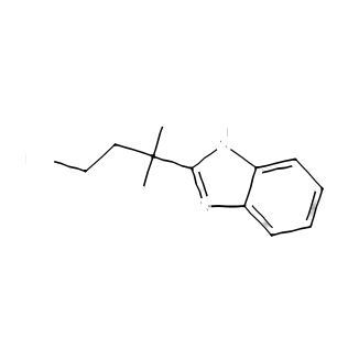 CCCC(C)(C)c1nc2ccccc2[nH]1